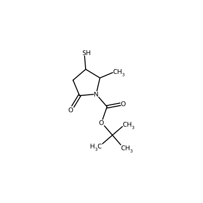 CC1C(S)CC(=O)N1C(=O)OC(C)(C)C